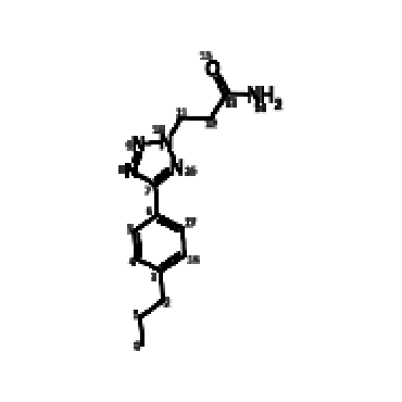 CCCc1ccc(-c2nnn(CCC(N)=O)n2)cc1